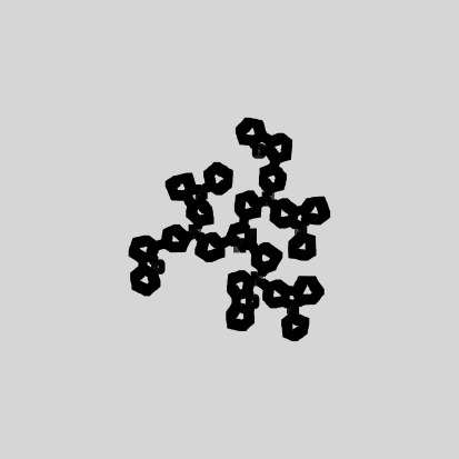 c1ccc(-n2c3ccccc3c3cc(N(c4ccc(-c5cccc6c5oc5ccccc56)cc4)c4cccc(-c5cc(-c6cccc(N(c7ccc(-c8cccc9c8oc8ccccc89)cc7)c7ccc8c(c7)c7ccccc7n8-c7ccccc7)c6)nc(-c6cccc(N(c7ccc8c(c7)c7ccccc7n8-c7ccccc7)c7cccc8c7oc7ccccc78)c6)n5)c4)ccc32)cc1